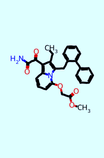 CCc1c(C(=O)C(N)=O)c2cccc(OCC(=O)OC)n2c1Cc1ccccc1-c1ccccc1